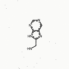 [NH]Cc1nc2cncnc2[nH]1